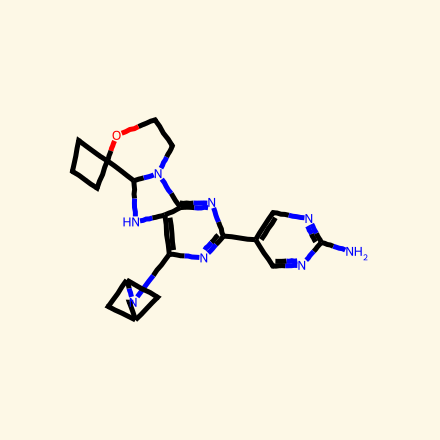 Nc1ncc(-c2nc(N3CC4CC3C4)c3c(n2)N2CCOC4(CCC4)C2N3)cn1